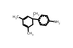 CC1=C[C@@](C)(c2ccc(N)cc2)CC(C)=C1